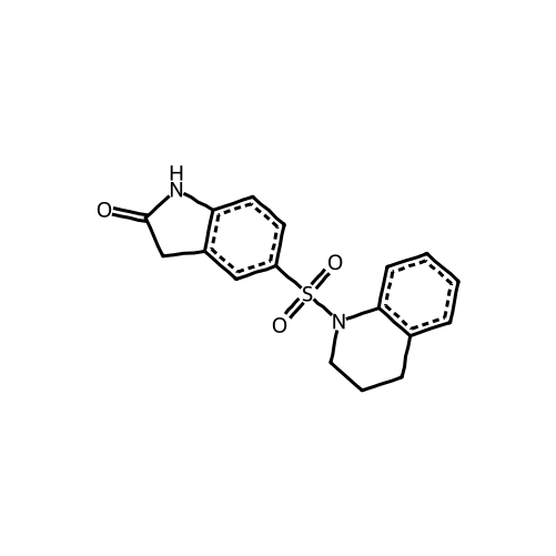 O=C1Cc2cc(S(=O)(=O)N3CCCc4ccccc43)ccc2N1